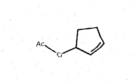 [CH2]C(=O)OC1C=CCC1